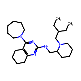 CCC(CC)CN1CCCCC1CNc1nc2c(c(N3CCCCCC3)n1)CCCC2